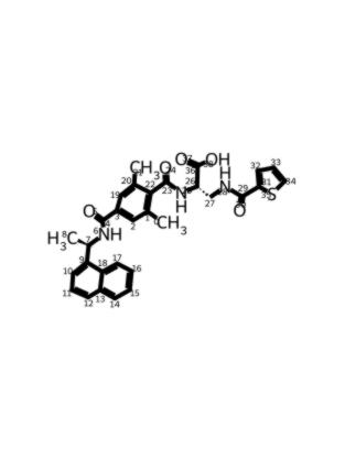 Cc1cc(C(=O)N[C@H](C)c2cccc3ccccc23)cc(C)c1C(=O)N[C@@H](CNC(=O)c1cccs1)C(=O)O